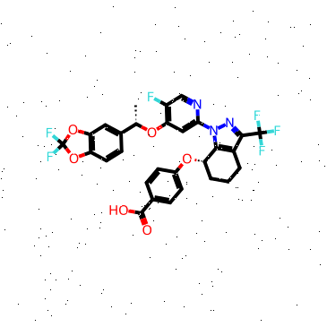 C[C@H](Oc1cc(-n2nc(C(F)(F)F)c3c2[C@@H](Oc2ccc(C(=O)O)cc2)CCC3)ncc1F)c1ccc2c(c1)OC(F)(F)O2